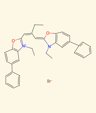 CCC(=Cc1oc2ccc(-c3ccccc3)cc2[n+]1CC)C=C1Oc2ccc(-c3ccccc3)cc2N1CC.[Br-]